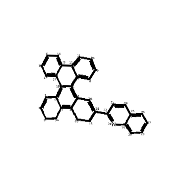 C1=Cc2c(c3c(c4c5ccccc5c5ccccc5c24)C=C(c2ccc4ccccc4n2)CC3)CC1